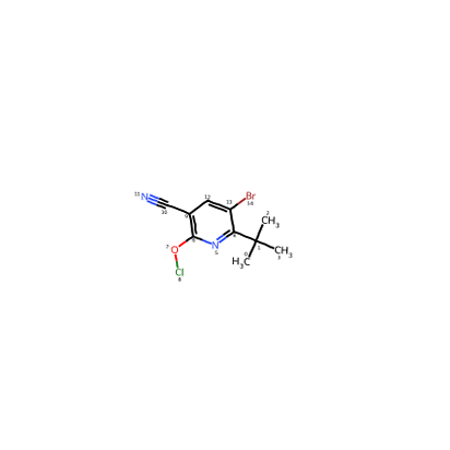 CC(C)(C)c1nc(OCl)c(C#N)cc1Br